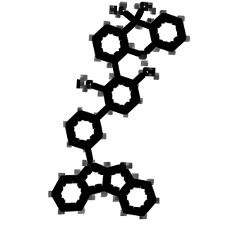 Cc1ccc(-c2cccc(-n3c4ccccc4c4c5ccccc5sc43)c2)c(C)c1-c1cccc2c1Oc1ccccc1C2(C)C